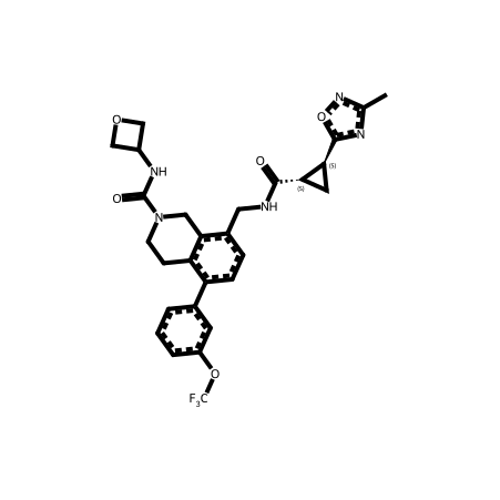 Cc1noc([C@H]2C[C@@H]2C(=O)NCc2ccc(-c3cccc(OC(F)(F)F)c3)c3c2CN(C(=O)NC2COC2)CC3)n1